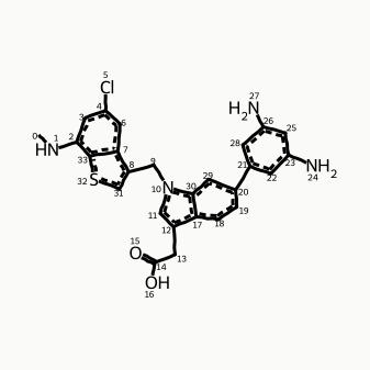 CNc1cc(Cl)cc2c(Cn3cc(CC(=O)O)c4ccc(-c5cc(N)cc(N)c5)cc43)csc12